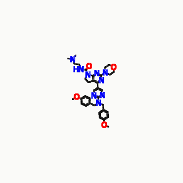 COc1ccc(CN(Cc2ccc(OC)cc2)c2ncc(-c3nc(N4CCOCC4)nc4c3CCN4C(=O)NCCN(C)C)cn2)cc1